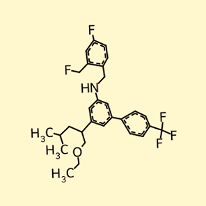 CCOCC(CC(C)C)c1cc(NCc2ccc(F)cc2CF)cc(-c2ccc(C(F)(F)F)cc2)c1